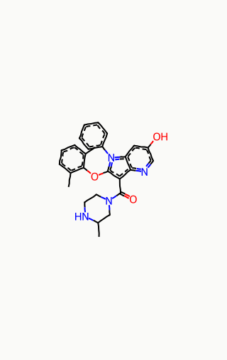 Cc1cccc(C)c1Oc1c(C(=O)N2CCNC(C)C2)c2ncc(O)cc2n1-c1ccccc1